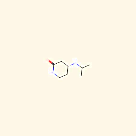 CC(C)N[C@H]1CCNC(=O)C1